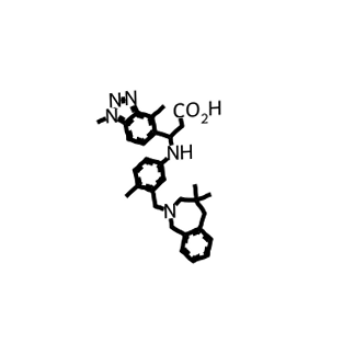 Cc1ccc(NC(CC(=O)O)c2ccc3c(nnn3C)c2C)cc1CN1Cc2ccccc2CC(C)(C)C1